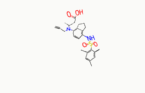 C#CCN(c1ccc(NS(=O)(=O)c2c(C)cc(C)cc2C)c2c1CCC2)C(C)CC(=O)O